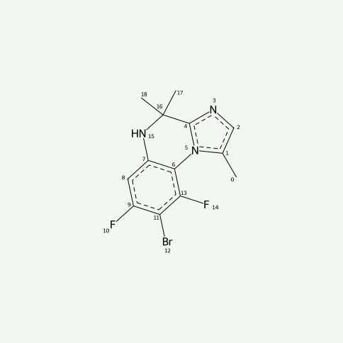 Cc1cnc2n1-c1c(cc(F)c(Br)c1F)NC2(C)C